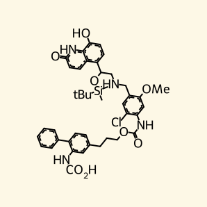 COc1cc(NC(=O)OCCCc2ccc(-c3ccccc3)c(NC(=O)O)c2)c(Cl)cc1CNCC(O[Si](C)(C)C(C)(C)C)c1ccc(O)c2[nH]c(=O)ccc12